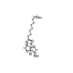 CCCCCCCCCCCCCCCCCC(=O)O[C@@H]1CO[C@H]2[C@@H]1OC[C@@H]2O